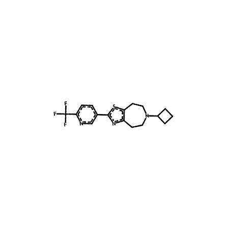 FC(F)(F)c1ccc(-c2nc3c(s2)CCN(C2CCC2)CC3)cn1